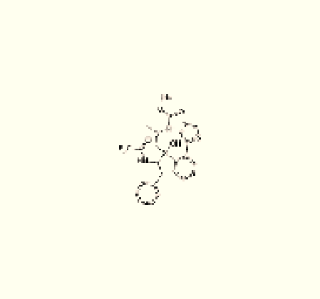 CN(CC(O)(c1ccccc1-c1cncs1)C(Cc1ccccc1)NC(=O)C(F)(F)F)NC(=O)OC(C)(C)C